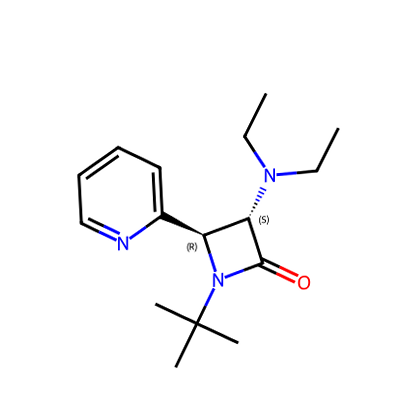 CCN(CC)[C@@H]1C(=O)N(C(C)(C)C)[C@H]1c1ccccn1